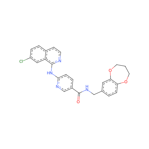 O=C(NCc1ccc2c(c1)OCCCO2)c1ccc(Nc2nccc3ccc(Cl)cc23)nc1